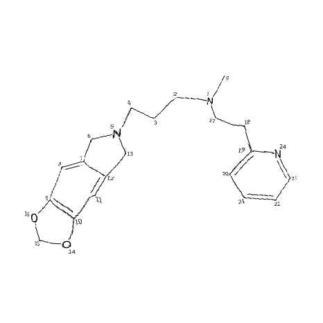 CN(CCCN1Cc2cc3c(cc2C1)OCO3)CCc1ccccn1